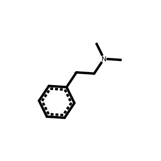 CN(C)C[CH]c1ccccc1